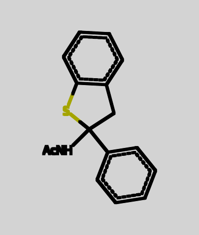 CC(=O)NC1(c2ccccc2)Cc2ccccc2S1